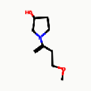 C=C(CCOC)N1CCC(O)C1